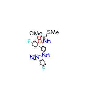 COC(=O)[C@H](CCSC)NC(=O)c1ccc(NC(Cn2ccnc2)c2ccc(F)cc2)cc1-c1ccc(F)cc1